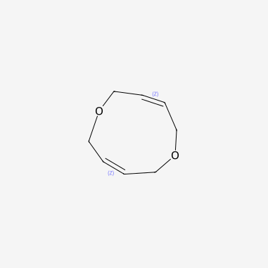 C1=C\COC/C=C\COC/1